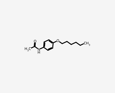 CCCCCCOc1ccc(NC(C)=O)cc1